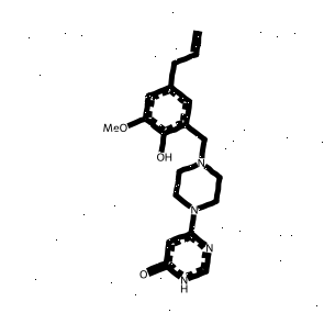 C=CCc1cc(CN2CCN(c3cc(=O)[nH]cn3)CC2)c(O)c(OC)c1